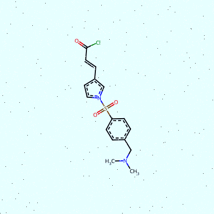 CN(C)Cc1ccc(S(=O)(=O)n2ccc(/C=C/C(=O)Cl)c2)cc1